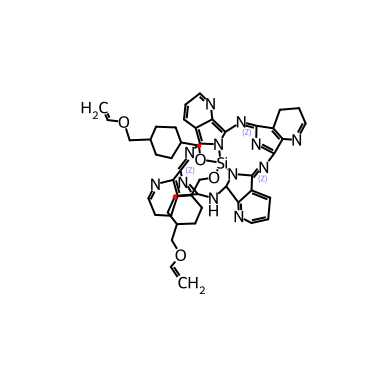 C=COCC1CCC(CO[Si]2(OCC3CCC(COC=C)CC3)N3/C4=N\C5=NC(=N\c6c7ncccc7c(n62)/N=C2\N=C(NC3c3ncccc34)C3=C2N=CCC3)/C2=C5N=CCC2)CC1